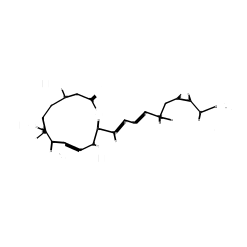 CCC(C)C(C)C1OC1CC(C)(O)/C=C/C=C(\C)C1OC(=O)CC(C)CCC(C)(O)C(OC(C)=O)/C=C/C1C